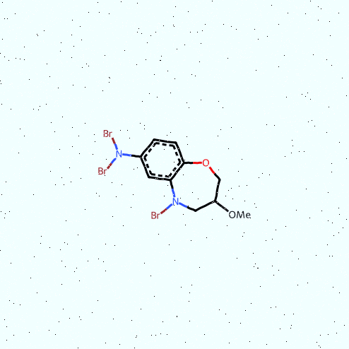 COC1COc2ccc(N(Br)Br)cc2N(Br)C1